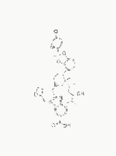 CC(C)[C@H](O)C[C@@H](C)[C@]1(C)CN(Cc2nc3ccc(C(=O)O)cc3n2C[C@@H]2CCO2)CCC1c1cccc2c1O[C@@](C)(c1ccc(Cl)cn1)O2